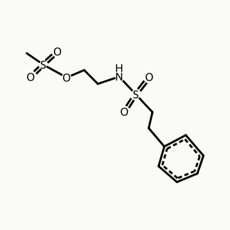 CS(=O)(=O)OCCNS(=O)(=O)CCc1ccccc1